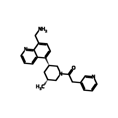 C[C@@H]1C[C@H](c2ccc(CN)c3ncccc23)CN(C(=O)Cc2cccnc2)C1